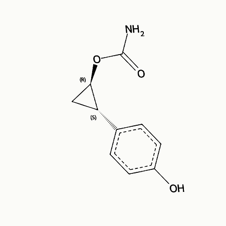 NC(=O)O[C@@H]1C[C@H]1c1ccc(O)cc1